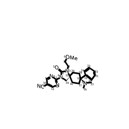 COCCN1C(=O)N(c2ncc(C#N)cn2)C[C@]12CC[C@](c1ccccc1)(N(C)C)CC2